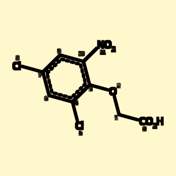 O=C(O)COc1c(Cl)cc(Cl)cc1[N+](=O)[O-]